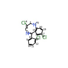 CN1CC(Cl)C/N=C(/c2ccccc2Cl)c2cc(Cl)ccc21